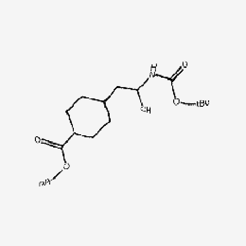 CCCOC(=O)C1CCC(CC(O)NC(=O)OC(C)(C)C)CC1